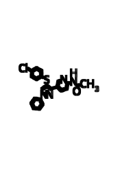 CC(=O)Nc1ccc(-c2nn(-c3ccccc3)cc2Sc2ccc(Cl)cc2)cn1